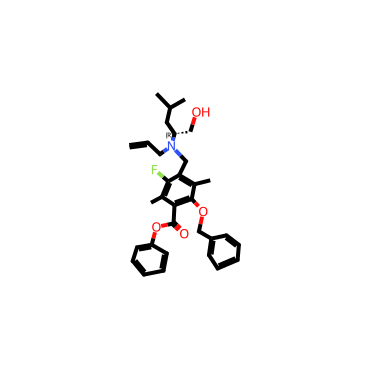 C=CCN(Cc1c(C)c(OCc2ccccc2)c(C(=O)Oc2ccccc2)c(C)c1F)[C@@H](CO)CC(C)C